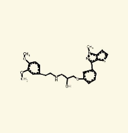 COc1ccc(CCNCC(O)COc2cccc(-c3nn(C)c4ccsc34)c2)cc1OC